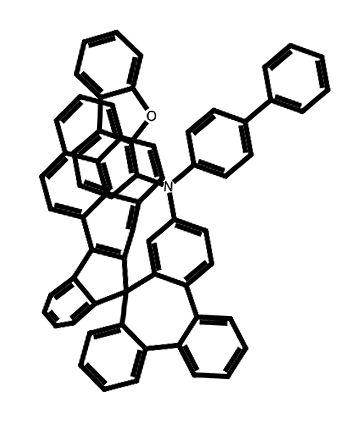 c1ccc(-c2ccc(N(c3ccc4c(c3)C3(c5ccccc5-c5ccccc5-4)c4ccccc4-c4c3cc3ccc5cccc6ccc4c3c56)c3cccc4c3oc3ccccc34)cc2)cc1